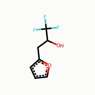 OC(Cc1ccco1)C(F)(F)F